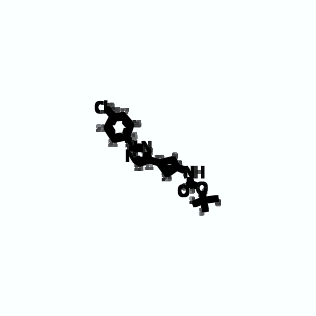 CC(C)(C)OC(=O)NC12CC(c3cnn(-c4ccc(Cl)cc4)n3)(C1)C2